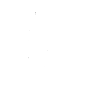 C=C(/C=C(\C=C/C)OC(=O)C(C)C)Oc1cc(OC(=O)C(C)C)ccc1C(C)c1cc(C(=O)NCC(O)CN)ccc1C=O